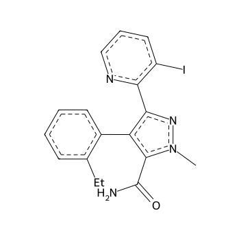 CCc1ccccc1-c1c(-c2ncccc2I)nn(C)c1C(N)=O